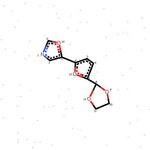 c1ncc(-c2ccc(C3OCCO3)o2)o1